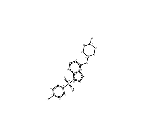 CN1CCN(Cc2cccc3c2ccn3S(=O)(=O)c2ccc(F)cc2)CC1